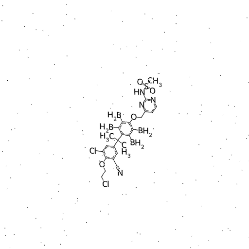 Bc1c(B)c(C(C)(C)c2cc(Cl)c(OCCCl)c(C#N)c2)c(B)c(B)c1OCc1ccnc(NS(C)(=O)=O)n1